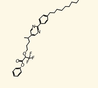 CCCCCCCCCc1ccc(-c2ncc(C(C)CCCOC(C(=O)Oc3ccccc3)C(F)(F)F)cn2)cc1